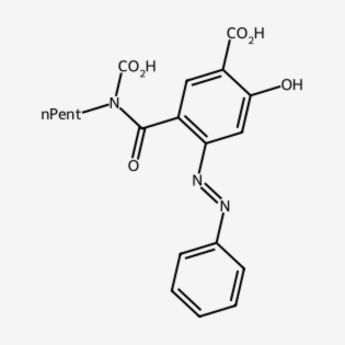 CCCCCN(C(=O)O)C(=O)c1cc(C(=O)O)c(O)cc1N=Nc1ccccc1